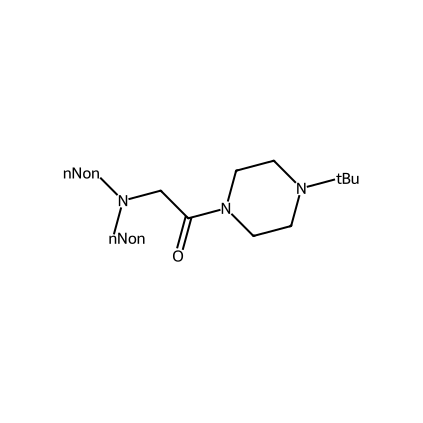 CCCCCCCCCN(CCCCCCCCC)CC(=O)N1CCN(C(C)(C)C)CC1